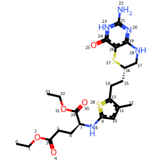 CCOC(=O)CC[C@H](Nc1cc(C)c(CC[C@H]2CNc3nc(N)[nH]c(=O)c3S2)s1)C(=O)OCC